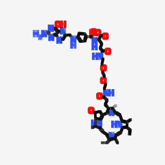 C=Cc1c(C)c2cc3nc(c4c5[nH]c(cc6nc(cc1[nH]2)C(C)=C6CC)c(C)c5C(=O)C4)[C@@H](CCC(=O)NCCOCCOCCNC(=O)CCC(NC(=O)c1ccc(NCc2cnc4nc(N)nc(O)c4n2)cc1)C(=O)O)[C@@H]3C